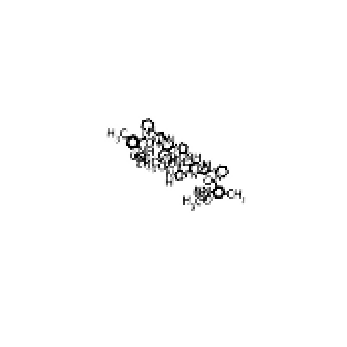 Cc1ccc(NS(C)(=O)=O)c(C(=O)N2CCCC[C@H]2c2cc3nc(N4CC[C@H](NC(=O)OC(C)(C)Cc5c(C)c(N6CC[C@H](N)C6)nc6cc([C@@H]7CCCCN7C(=O)c7cc(C)ccc7NS(C)(=O)=O)nn56)C4)c(C)cn3n2)c1